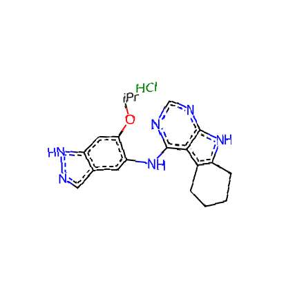 CC(C)Oc1cc2[nH]ncc2cc1Nc1ncnc2[nH]c3c(c12)CCCC3.Cl